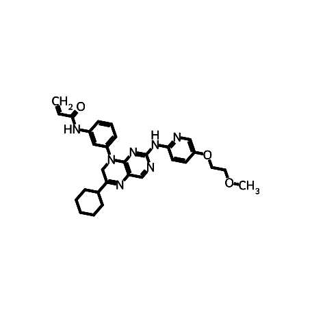 C=CC(=O)Nc1cccc(N2CC(C3CCCCC3)=Nc3cnc(Nc4ccc(OCCOC)cn4)nc32)c1